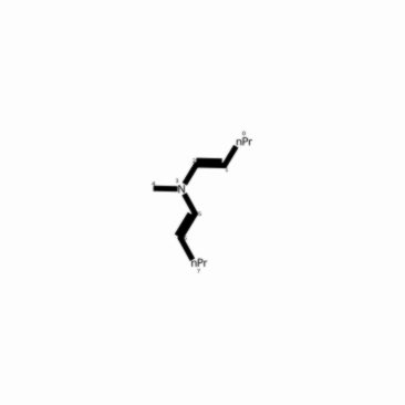 CCCC=CN(C)C=CCCC